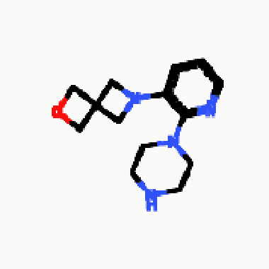 c1cnc(N2CCNCC2)c(N2CC3(COC3)C2)c1